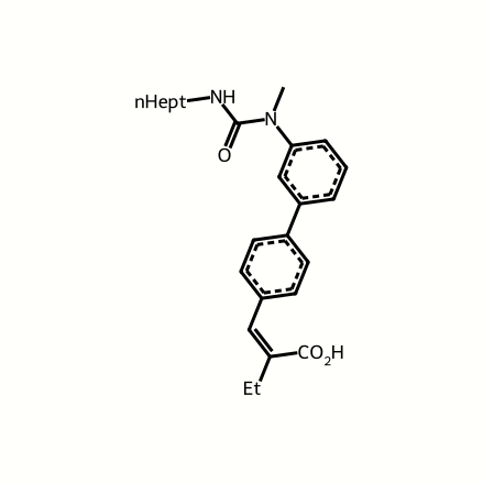 CCCCCCCNC(=O)N(C)c1cccc(-c2ccc(/C=C(/CC)C(=O)O)cc2)c1